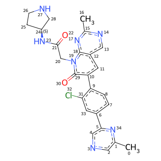 Cc1cncc(-c2ccc(-c3cc4cnc(C)nc4n(CC(=O)N[C@H]4CCNC4)c3=O)c(Cl)c2)n1